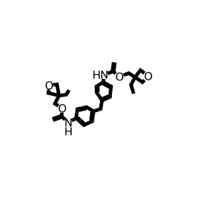 C=C(Nc1ccc(Cc2ccc(NC(=C)OCC3(CC)COC3)cc2)cc1)OCC1(CC)COC1